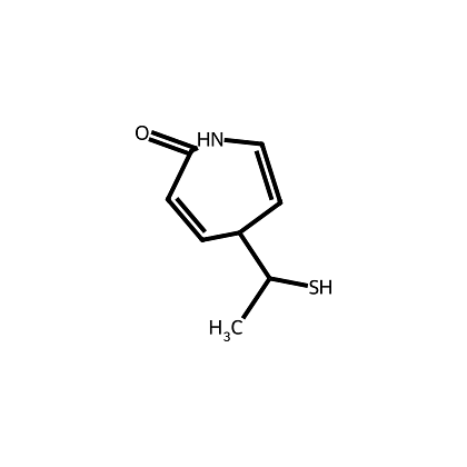 CC(S)C1C=CNC(=O)C=C1